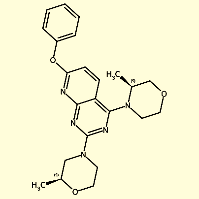 C[C@H]1CN(c2nc(N3CCOC[C@@H]3C)c3ccc(Oc4ccccc4)nc3n2)CCO1